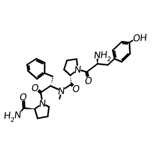 CN(C(=O)[C@@H]1CCCN1C(=O)[C@@H](N)Cc1ccc(O)cc1)[C@@H](Cc1ccccc1)C(=O)N1CCC[C@H]1C(N)=O